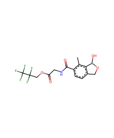 Cc1c(C(=O)NCC(=O)OCC(F)(F)C(F)(F)F)ccc2c1B(O)OC2